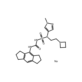 Cn1cc(N(CCN2CCC2)S(=O)(=O)NC(=O)Nc2c3c(cc4c2CCC4)CCC3)cn1.[Na]